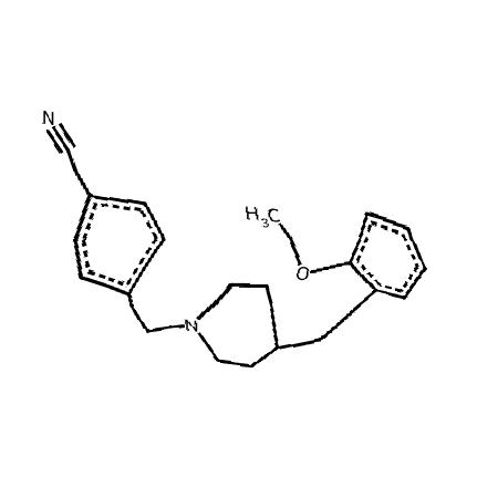 COc1ccccc1CC1CCN(Cc2ccc(C#N)cc2)CC1